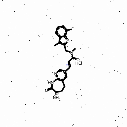 Cc1c(CN(C)C(=O)/C=C/c2cnc3c(c2)CC[C@H](N)C(=O)N3)sc2c(F)cccc12.Cl